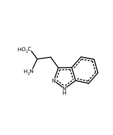 NC(Cc1n[nH]c2ccccc12)C(=O)O